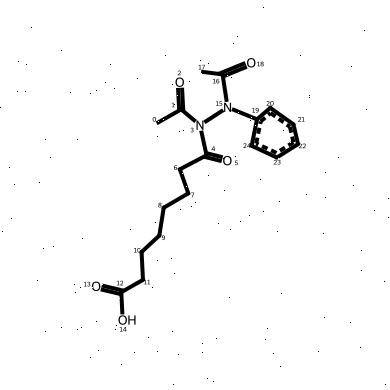 CC(=O)N(C(=O)CCCCCCC(=O)O)N(C(C)=O)c1ccccc1